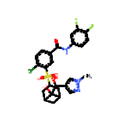 Cn1cc(C(O)C2(O)C3CC2CC(S(=O)(=O)c2cc(C(=O)Nc4ccc(F)c(F)c4)ccc2Cl)C3)cn1